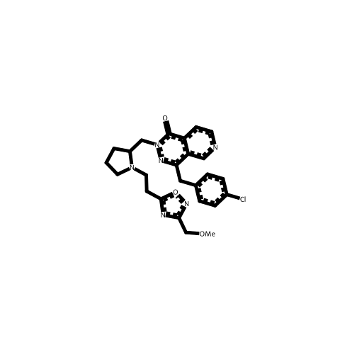 COCc1noc(CCN2CCCC2Cn2nc(Cc3ccc(Cl)cc3)c3cnccc3c2=O)n1